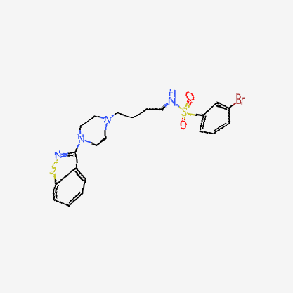 O=S(=O)(NCCCCN1CCN(c2nsc3ccccc23)CC1)c1cccc(Br)c1